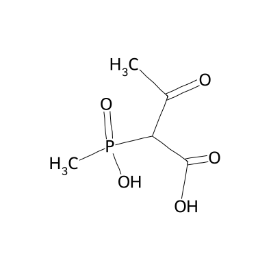 CC(=O)C(C(=O)O)P(C)(=O)O